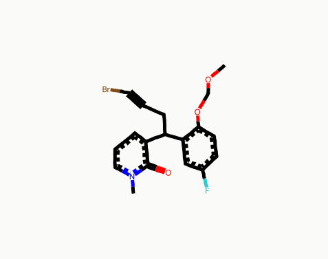 COCOc1ccc(F)cc1C(CC#CBr)c1cccn(C)c1=O